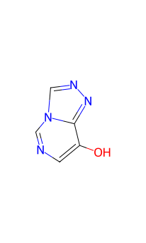 Oc1cncn2cnnc12